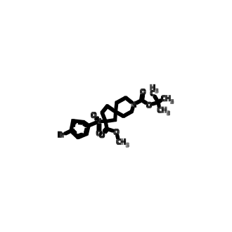 COC(=O)C1(S(=O)(=O)c2ccc(Br)cc2)CCC2(CCN(C(=O)OC(C)(C)C)CC2)C1